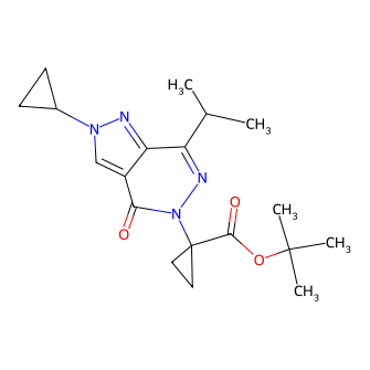 CC(C)c1nn(C2(C(=O)OC(C)(C)C)CC2)c(=O)c2cn(C3CC3)nc12